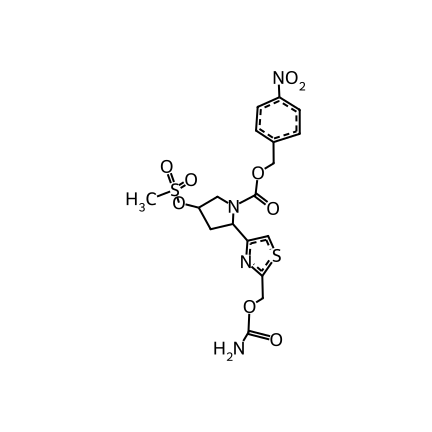 CS(=O)(=O)OC1CC(c2csc(COC(N)=O)n2)N(C(=O)OCc2ccc([N+](=O)[O-])cc2)C1